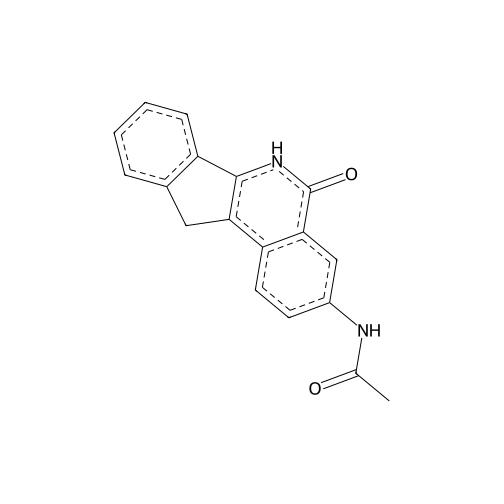 CC(=O)Nc1ccc2c3c([nH]c(=O)c2c1)-c1ccccc1C3